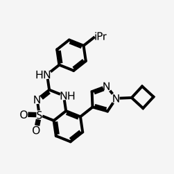 CC(C)c1ccc(NC2=NS(=O)(=O)c3cccc(-c4cnn(C5CCC5)c4)c3N2)cc1